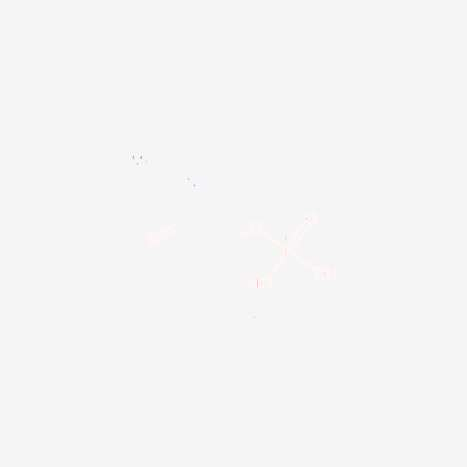 CONC(=O)C(=CCl)OP(=O)(O)O